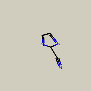 N#CC1N=CC=N1